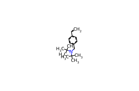 C=Cc1ccc(CN(C(C)(C)C)C(C)(C)C)cc1